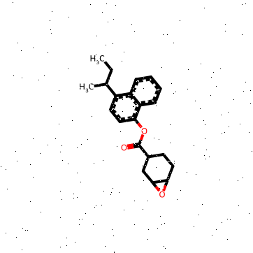 CCC(C)c1ccc(OC(=O)C2CCC3OC3C2)c2ccccc12